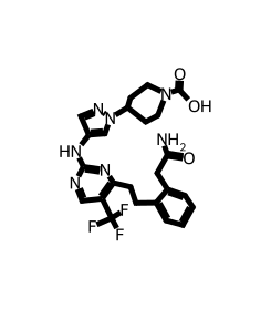 NC(=O)Cc1ccccc1CCc1nc(Nc2cnn(C3CCN(C(=O)O)CC3)c2)ncc1C(F)(F)F